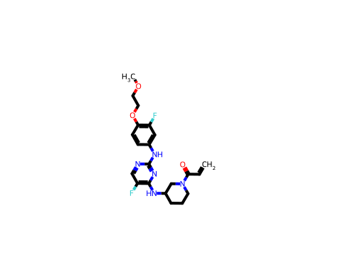 C=CC(=O)N1CCCC(Nc2nc(Nc3ccc(OCCOC)c(F)c3)ncc2F)C1